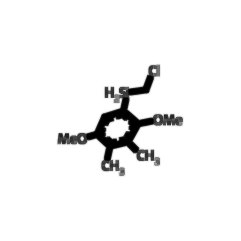 COc1cc([SiH2]CCl)c(OC)c(C)c1C